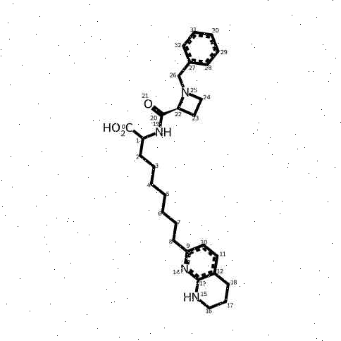 O=C(O)C(CCCCCCCc1ccc2c(n1)NCCC2)NC(=O)[C@@H]1CCN1Cc1ccccc1